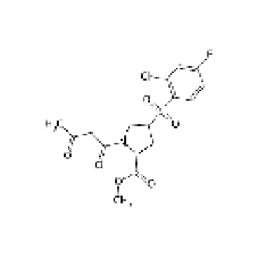 COC(=O)C1CC(S(=O)(=O)c2ccc(F)cc2Cl)CN1C(=O)CC(C)=O